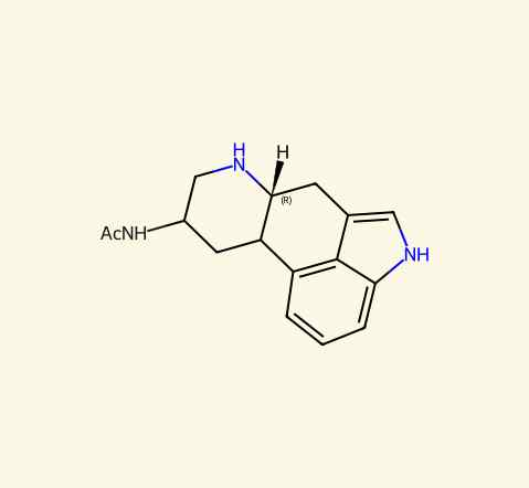 CC(=O)NC1CN[C@@H]2Cc3c[nH]c4cccc(c34)C2C1